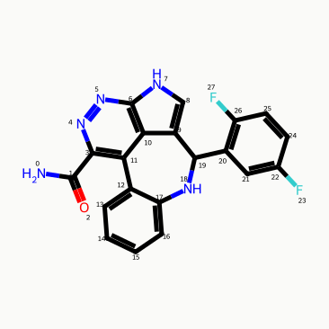 NC(=O)c1nnc2[nH]cc3c2c1-c1ccccc1NC3c1cc(F)ccc1F